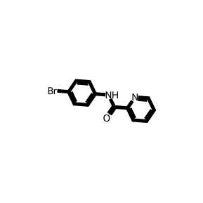 O=C(Nc1ccc(Br)cc1)c1ccccn1